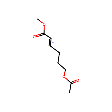 COC(=O)/C=C/CCCOC(C)=O